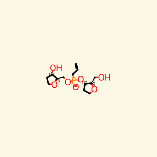 C=CCP(=O)(OC[C@H]1OCC[C@@H]1O)O[C@H]1CCO[C@@H]1CO